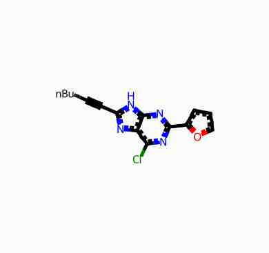 CCCCC#Cc1nc2c(Cl)nc(-c3ccco3)nc2[nH]1